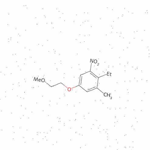 CCc1c(C)cc(OCCOC)cc1[N+](=O)[O-]